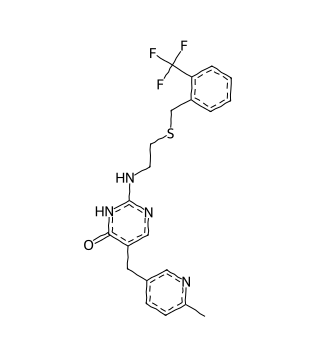 Cc1ccc(Cc2cnc(NCCSCc3ccccc3C(F)(F)F)[nH]c2=O)cn1